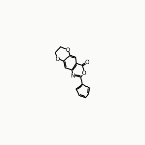 O=c1oc(-c2ccccc2)nc2cc3c(cc12)OCCO3